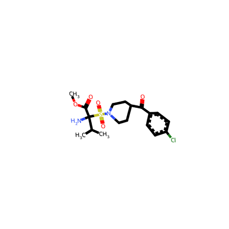 COC(=O)C(N)(C(C)C)S(=O)(=O)N1CCC(C(=O)c2ccc(Cl)cc2)CC1